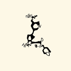 CCCCN(C)Cc1cncc(-c2ccc3[nH]nc(C(=O)NCC4CCOCC4)c3c2)c1